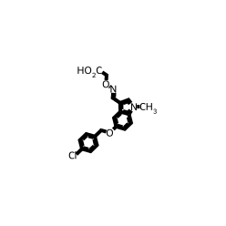 Cn1cc(/C=N/OCC(=O)O)c2cc(OCc3ccc(Cl)cc3)ccc21